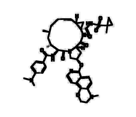 C[C@H]1CCC=C[C@@H]2C[C@@]2(C(=O)NS(=O)(=O)C2(C)CC2)NC(=O)[C@@H]2C[C@@H](Oc3nccc4c5c(ccc34)N(C)CCO5)CN2C(=O)[C@@H](NC(=O)c2ccc(N(C)C)cc2)[C@H](C)C1